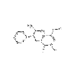 CC(C)OC(=O)[C@@H](C[C@@H](c1ccccc1)[C@H](C)N)NC(=O)OC(C)(C)C